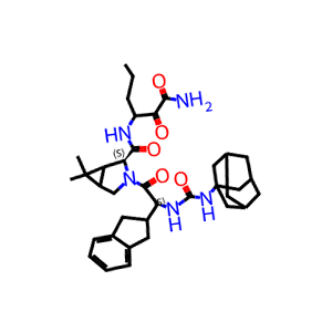 CCCC(NC(=O)[C@@H]1C2C(CN1C(=O)[C@@H](NC(=O)NC13CC4CC(CC(C4)C1)C3)C1Cc3ccccc3C1)C2(C)C)C(=O)C(N)=O